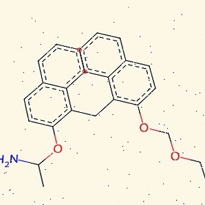 CCOCOc1ccc2ccccc2c1Cc1c(OC(C)N)ccc2ccccc12